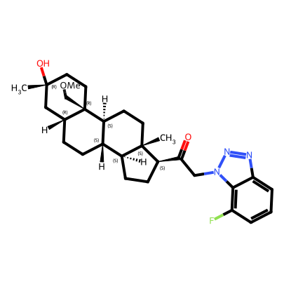 COC[C@]12CC[C@@](C)(O)C[C@H]1CC[C@H]1[C@@H]3CC[C@H](C(=O)Cn4nnc5cccc(F)c54)[C@@]3(C)CC[C@@H]12